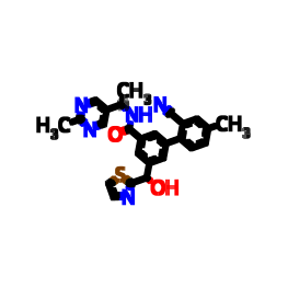 Cc1ccc(-c2cc(C(=O)N[C@H](C)c3cnc(C)nc3)cc(C(O)c3nccs3)c2)c(C#N)c1